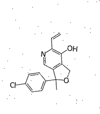 C=Cc1ncc2c(c1O)COC2(C)c1ccc(Cl)cc1